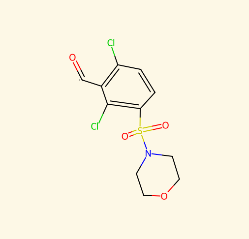 O=[C]c1c(Cl)ccc(S(=O)(=O)N2CCOCC2)c1Cl